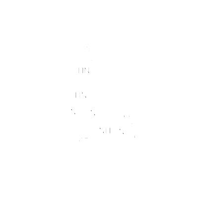 CN(c1ccccc1CNc1nc(Nc2cccc3c2NC(=O)C3)ncc1C(F)(F)F)S(C)(=O)=O